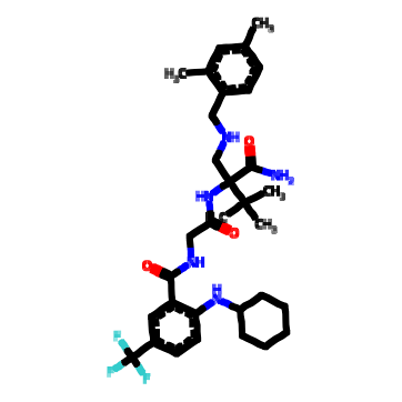 Cc1ccc(CNCC(NC(=O)CNC(=O)c2cc(C(F)(F)F)ccc2NC2CCCCC2)(C(N)=O)C(C)(C)C)c(C)c1